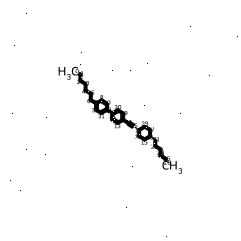 CCCCCCCc1ccc(-c2ccc(C#C[C@H]3CC[C@H](CCCCCC)CC3)cc2)cc1